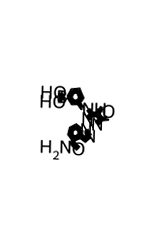 NC(=O)c1cccc2c1cnn2-c1nc2c(c(NCc3cccc(B(O)O)c3)n1)COC2